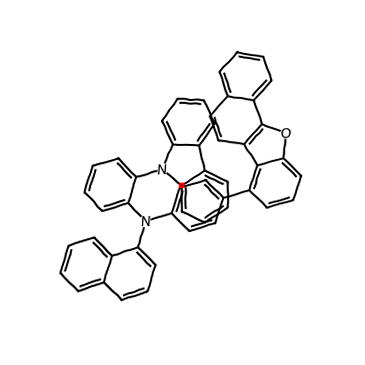 c1ccc(-n2c3ccccc3c3ccccc32)c(N(c2ccc(-c3cccc4oc5c6ccccc6ccc5c34)cc2)c2cccc3ccccc23)c1